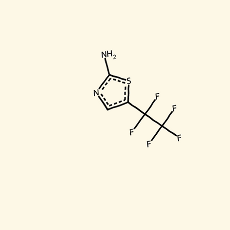 Nc1ncc(C(F)(F)C(F)(F)F)s1